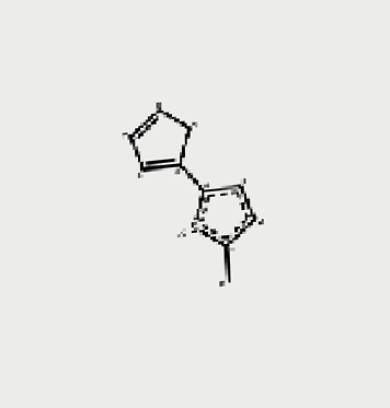 Cc1ccc(C2=CC=CC2)s1